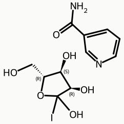 NC(=O)c1cccnc1.OC[C@H]1OC(O)(I)[C@H](O)[C@@H]1O